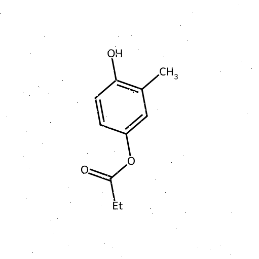 CCC(=O)Oc1ccc(O)c(C)c1